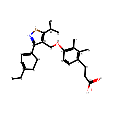 CCC1=CC=C(c2nsc(C(C)C)c2COc2ccc(CCC(=O)O)c(C)c2C)CC1